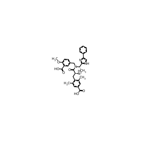 COc1ccc(CN(C(=O)[C@@H](N)Cc2c(C)cc(C(=O)O)cc2C)[C@@H](C)c2nc(-c3ccccc3)c[nH]2)cc1C(=O)O